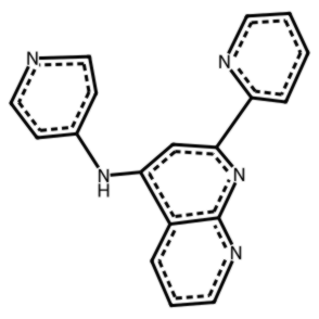 c1ccc(-c2cc(Nc3ccncc3)c3cccnc3n2)nc1